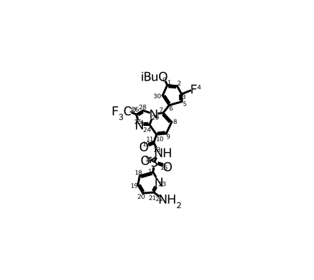 CC(C)COc1cc(F)cc(-c2ccc(C(=O)NS(=O)(=O)c3cccc(N)n3)c3nc(C(F)(F)F)cn23)c1